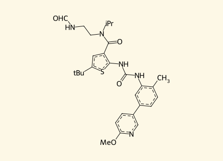 COc1ccc(-c2ccc(C)c(NC(=O)Nc3sc(C(C)(C)C)cc3C(=O)N(CCNC=O)C(C)C)c2)cn1